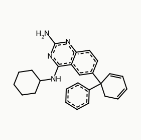 Nc1nc(NC2CCCCC2)c2cc(C3(c4ccccc4)C=CC=CC3)ccc2n1